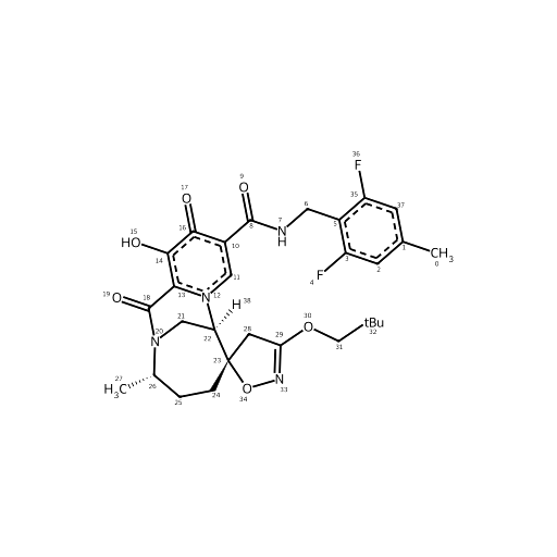 Cc1cc(F)c(CNC(=O)c2cn3c(c(O)c2=O)C(=O)N2C[C@@H]3[C@]3(CC[C@@H]2C)CC(OCC(C)(C)C)=NO3)c(F)c1